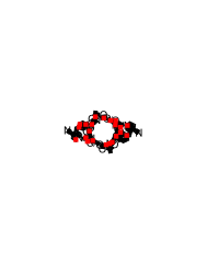 CC(C)C[C@H]1C(=O)O[C@H](Cc2ccc(Cc3cnccc3C#N)cc2)C(=O)N(C)[C@@H](CC(C)C)C(=O)O[C@H](C)C(=O)N(C)[C@@H](CC(C)C)C(=O)O[C@H](Cc2ccc(Cc3cnccc3C#N)cc2)C(=O)N(C)[C@@H](CC(C)C)C(=O)O[C@H](C)C(=O)N1C